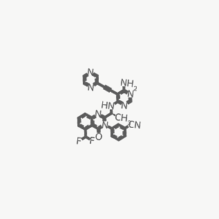 C[C@H](Nc1ncnc(N)c1C#Cc1cnccn1)c1nc2cccc(C(F)F)c2c(=O)n1-c1cccc(C#N)c1